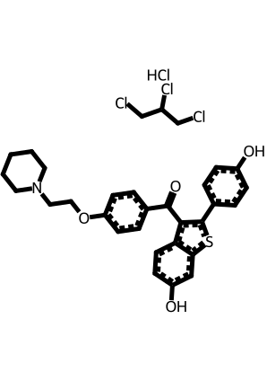 Cl.ClCC(Cl)CCl.O=C(c1ccc(OCCN2CCCCC2)cc1)c1c(-c2ccc(O)cc2)sc2cc(O)ccc12